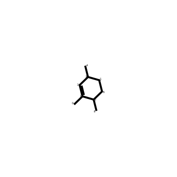 CC1=CC(C)[CH]CC1C